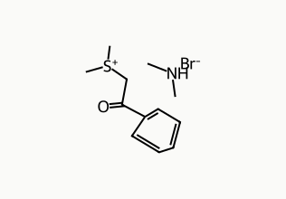 CNC.C[S+](C)CC(=O)c1ccccc1.[Br-]